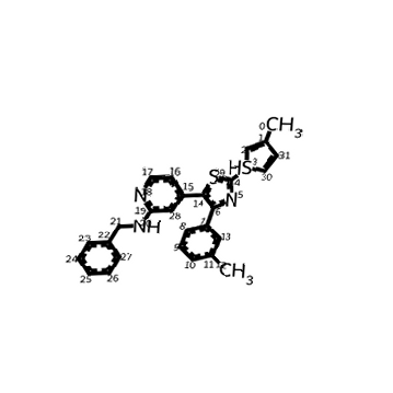 CC1=C[SH](c2nc(-c3cccc(C)c3)c(-c3ccnc(NCc4ccccc4)c3)s2)C=C1